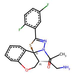 CC(=O)N1N=C(c2cc(F)ccc2F)S[C@@]12c1ccccc1OC[C@H]2CCN